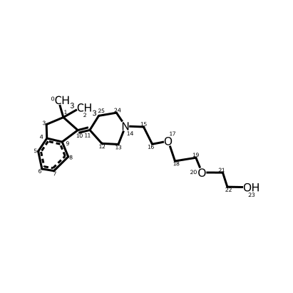 CC1(C)Cc2ccccc2C1=C1CCN(CCOCCOCCO)CC1